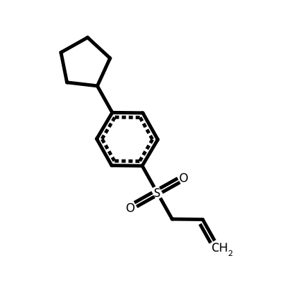 C=CCS(=O)(=O)c1ccc(C2CCCC2)cc1